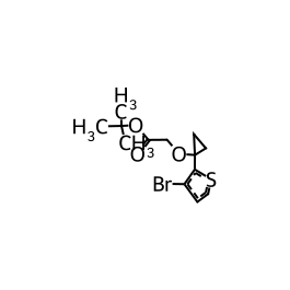 CC(C)(C)OC(=O)COC1(c2sccc2Br)CC1